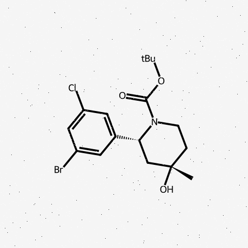 CC(C)(C)OC(=O)N1CC[C@](C)(O)C[C@@H]1c1cc(Cl)cc(Br)c1